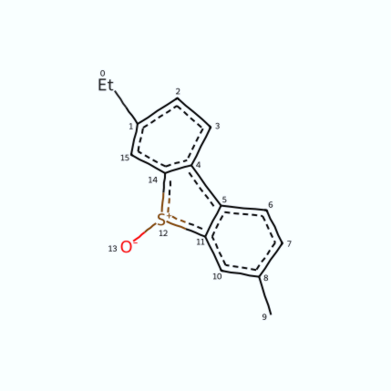 CCc1ccc2c3ccc(C)cc3[s+]([O-])c2c1